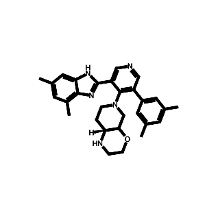 Cc1cc(C)cc(-c2cncc(-c3nc4c(C)cc(C)cc4[nH]3)c2N2CC[C@H]3NCCOC3C2)c1